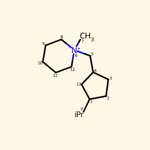 CC(C)C1CCC(C[N+]2(C)CCCCC2)C1